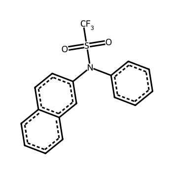 O=S(=O)(N(c1ccccc1)c1ccc2ccccc2c1)C(F)(F)F